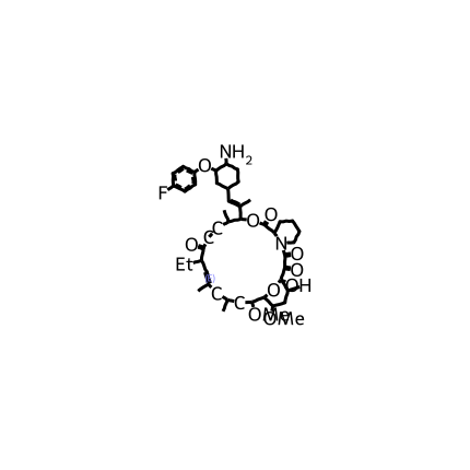 CCC1/C=C(\C)CC(C)CC(OC)C2OC(O)(C(=O)C(=O)N3CCCCC3C(=O)OC(C(C)=CC3CCC(N)C(Oc4ccc(F)cc4)C3)C(C)CCC1=O)C(C)CC2OC